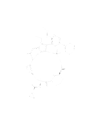 CCn1c(-c2cc(N3CCOCC3)cnc2[C@H](C)OC)c2c3cc(c(F)cc31)-c1csc(n1)C[C@H](NC(=O)[C@H]1C[C@@H]1C)C(=O)N1CCC[C@H](N1)C(=O)OCC(C)(C)C2